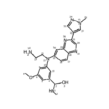 CNC(O)c1cc(OC)cc(N(CCN)c2ccc3ncc(-c4cnn(C)c4)nc3c2)c1